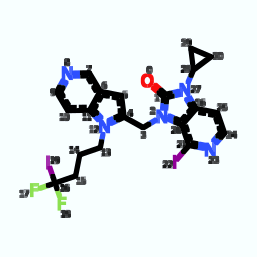 O=c1n(Cc2cc3cnccc3n2CCCC(F)(F)I)c2c(I)nccc2n1C1CC1